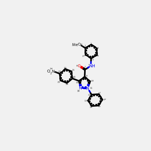 COc1cccc(NC(=O)c2cn(-c3ccccc3)nc2-c2ccc([N+](=O)[O-])cc2)c1